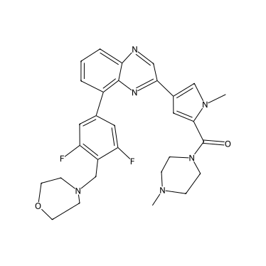 CN1CCN(C(=O)c2cc(-c3cnc4cccc(-c5cc(F)c(CN6CCOCC6)c(F)c5)c4n3)cn2C)CC1